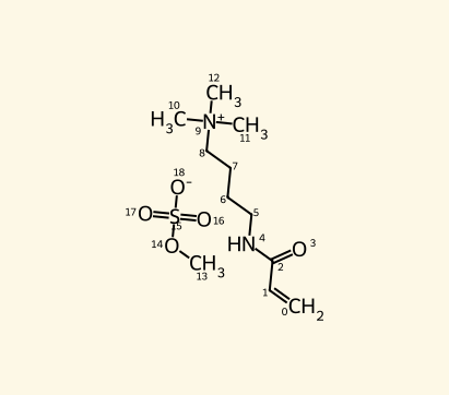 C=CC(=O)NCCCC[N+](C)(C)C.COS(=O)(=O)[O-]